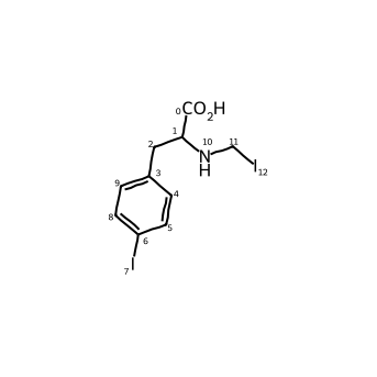 O=C(O)C(Cc1ccc(I)cc1)NCI